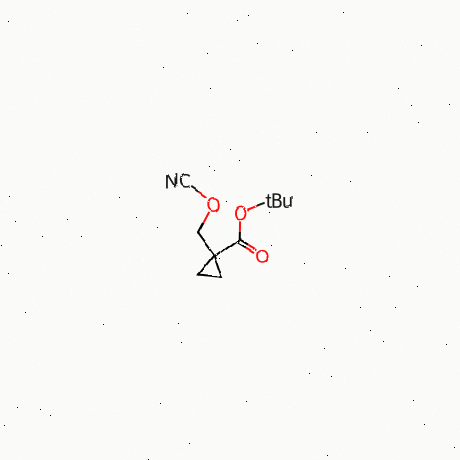 CC(C)(C)OC(=O)C1(COC#N)CC1